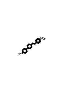 CCCC1CCC(C2CCC(CCc3ccc(N=C=S)cc3)CC2)CC1